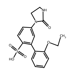 CCOc1ccccc1-c1cc(N2CCNC2=O)ccc1S(=O)(=O)O